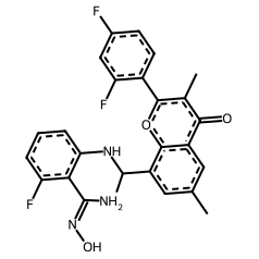 Cc1cc(C(C)Nc2cccc(F)c2C(N)=NO)c2oc(-c3ccc(F)cc3F)c(C)c(=O)c2c1